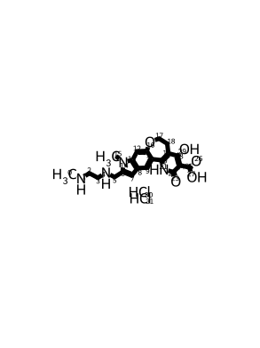 CNCCNCc1cc2cc3c(cc2n1C)OCCc1c-3[nH]c(=O)c(C(=O)O)c1O.Cl.Cl